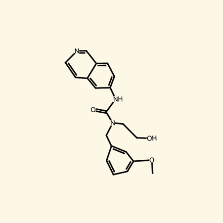 COc1cccc(CN(CCO)C(=O)Nc2ccc3cnccc3c2)c1